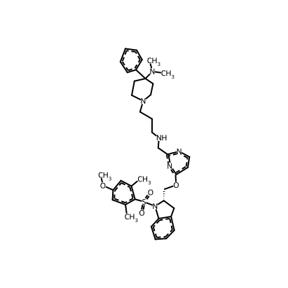 COc1cc(C)c(S(=O)(=O)N2c3ccccc3C[C@H]2COc2ccnc(CNCCCN3CCC(c4ccccc4)(N(C)C)CC3)n2)c(C)c1